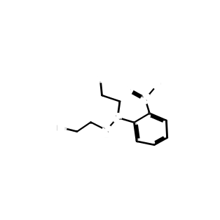 O=[N+]([O-])c1ccccc1N(CCO)NCCO